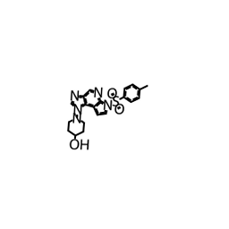 Cc1ccc(S(=O)(=O)n2ccc3c4c(cnc32)ncn4N2CCC(O)CC2)cc1